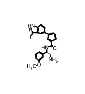 COc1cccc([C@@H](CN)NC(=O)c2cccc(-c3ccc4[nH]nc(F)c4c3)c2)c1